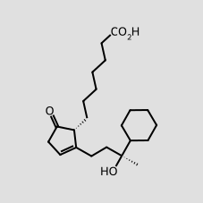 C[C@](O)(CCC1=CCC(=O)[C@@H]1CCCCCCC(=O)O)C1CCCCC1